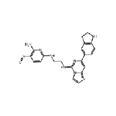 Nc1nc(NCCNc2nc(-c3ccc4c(c3)CCN4)cc3nccn23)ccc1N=O